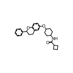 O=C(NC1CCC(Oc2ccc3c(c2)CCC(c2ccccc2)O3)CC1)C1CCC1